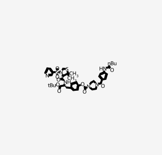 CCCCC(=O)Nc1ccc(C(=O)N2CCN(C(=O)Oc3ccc(C[C@H](NC(=O)[C@H]4N(S(=O)(=O)c5cccnc5)CSC4(C)C)C(=O)OC(C)(C)C)cc3)CC2)cc1